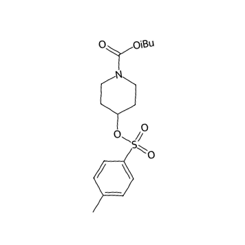 Cc1ccc(S(=O)(=O)OC2CCN(C(=O)OCC(C)C)CC2)cc1